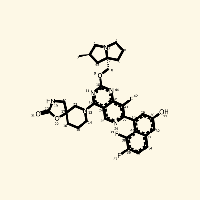 C[C@H]1CN2CCC[C@@]2(COc2nc(N3CCCC4(CNC(=O)O4)C3)c3cnc(-c4cc(O)cc5ccc(F)c(F)c45)c(F)c3n2)C1